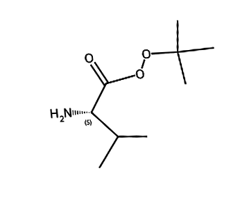 CC(C)[C@H](N)C(=O)OOC(C)(C)C